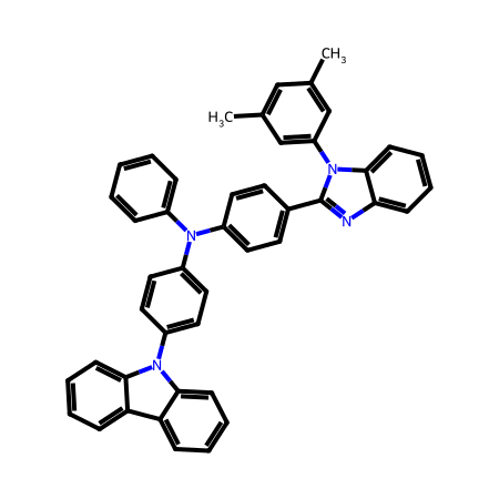 Cc1cc(C)cc(-n2c(-c3ccc(N(c4ccccc4)c4ccc(-n5c6ccccc6c6ccccc65)cc4)cc3)nc3ccccc32)c1